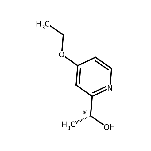 CCOc1ccnc([C@@H](C)O)c1